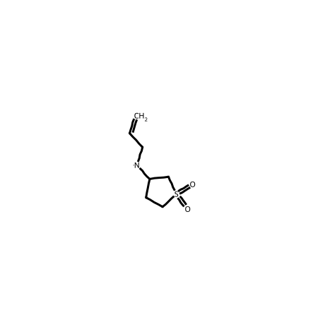 C=CC[N]C1CCS(=O)(=O)C1